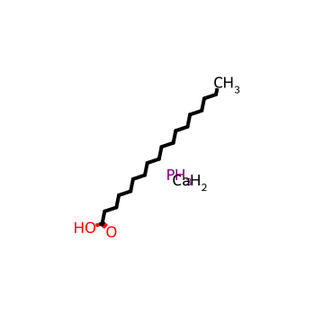 CCCCCCCCCCCCCCCCCC(=O)O.P.[CaH2]